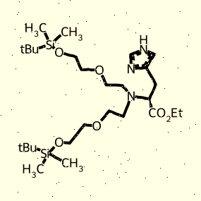 CCOC(=O)[C@H](Cc1c[nH]cn1)N(CCOCCO[Si](C)(C)C(C)(C)C)CCOCCO[Si](C)(C)C(C)(C)C